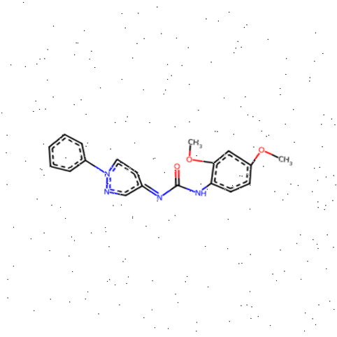 COc1ccc(NC(=O)N=c2ccn(-c3ccccc3)nc2)c(OC)c1